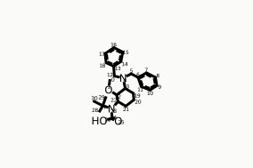 COC1C(N(Cc2ccccc2)Cc2ccccc2)CCCC1N(C(=O)O)C(C)(C)C